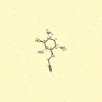 C#CCO[C@H]1[C@H](O)[C@@H](O)[C@H](N)C[C@@H]1N